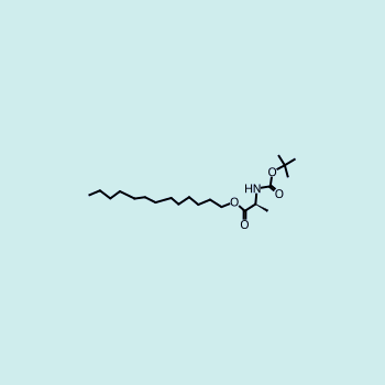 CCCCCCCCCCCCCOC(=O)[C@H](C)NC(=O)OC(C)(C)C